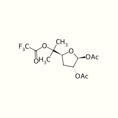 CC(=O)O[C@@H]1O[C@H](C(C)(C)OC(=O)C(F)(F)F)C[C@H]1OC(C)=O